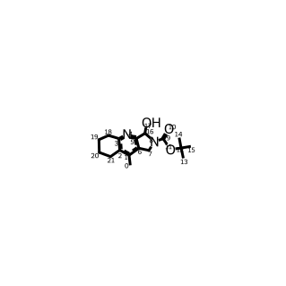 Cc1c2c(nc3c1CN(C(=O)OC(C)(C)C)C3O)CCCC2